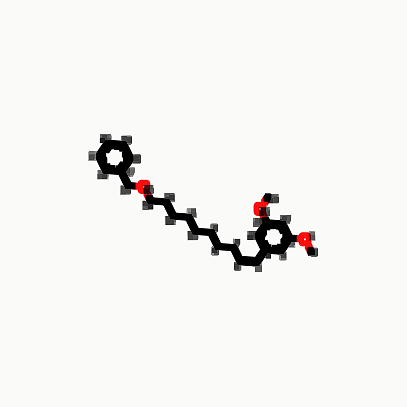 COc1cc(/C=C\CCCCCCCCOCc2ccccc2)cc(OC)c1